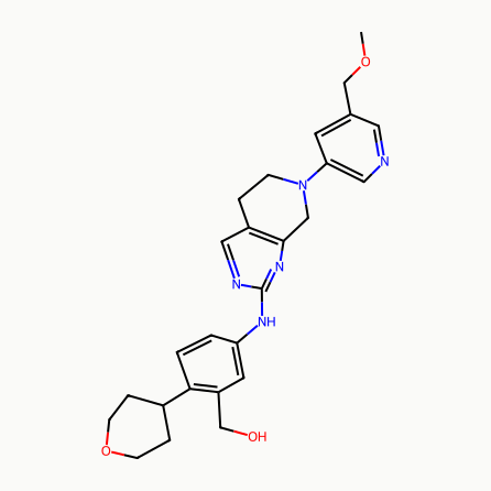 COCc1cncc(N2CCc3cnc(Nc4ccc(C5CCOCC5)c(CO)c4)nc3C2)c1